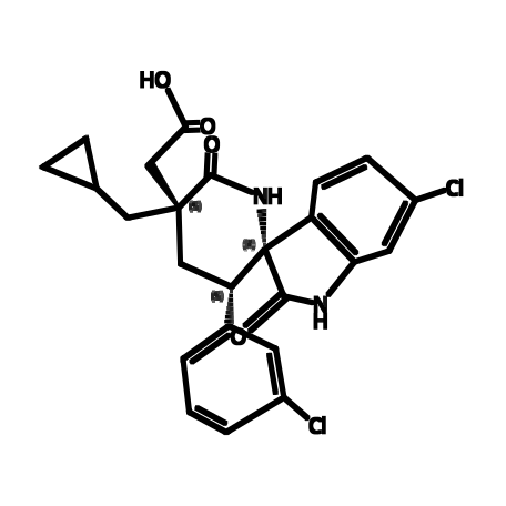 O=C(O)C[C@]1(CC2CC2)C[C@@H](c2cccc(Cl)c2)[C@]2(NC1=O)C(=O)Nc1cc(Cl)ccc12